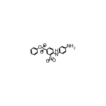 Nc1ccc(Nc2ccc(S(=O)(=O)Oc3ccccc3)cc2[N+](=O)[O-])cc1